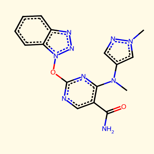 CN(c1cnn(C)c1)c1nc(On2nnc3ccccc32)ncc1C(N)=O